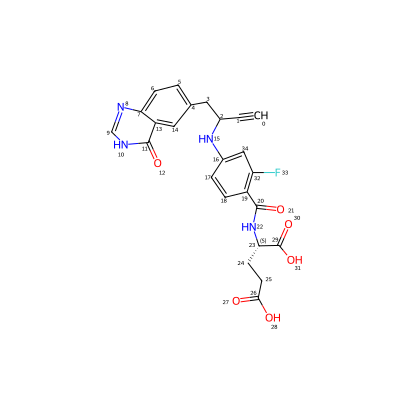 C#CC(Cc1ccc2nc[nH]c(=O)c2c1)Nc1ccc(C(=O)N[C@@H](CCC(=O)O)C(=O)O)c(F)c1